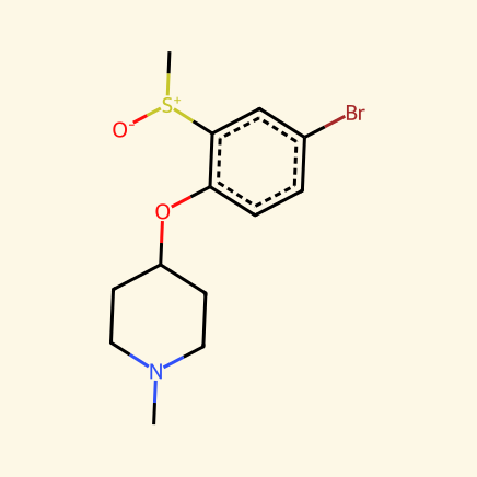 CN1CCC(Oc2ccc(Br)cc2[S+](C)[O-])CC1